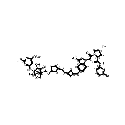 COc1cc(N[C@H]2[C@H]3OC[C@](COC4CCC(CCC5CC(Cc6ccc7c(c6)c(C(C)=O)nn7CC(=O)N6C[C@H](F)C[C@H]6C(=O)Nc6cccc(Br)n6)C5)C4)(O3)[C@H](O)[C@@H]2O)nc(C(F)(F)F)n1